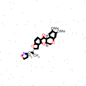 C1=NOCC1.C=C(C)[C@H]1Cc2c(ccc3c2O[C@@H]2COc4cc(OC)c(OC)cc4[C@@H]2C3=O)O1